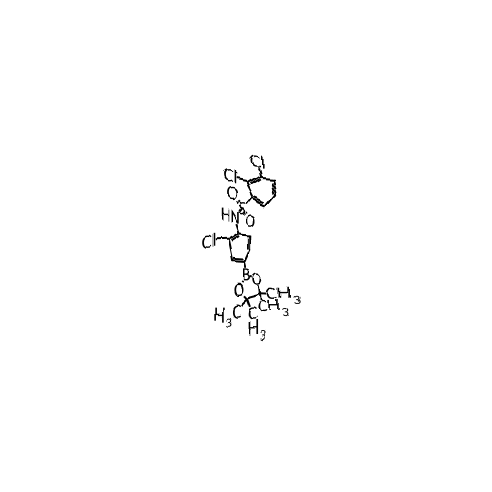 CC1(C)OB(c2ccc(NS(=O)(=O)c3cccc(Cl)c3Cl)c(Cl)c2)OC1(C)C